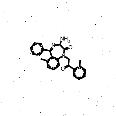 Cc1ccccc1C(=O)CN1C(=O)C(N)N=C(c2ccccc2)c2c(C)cccc21